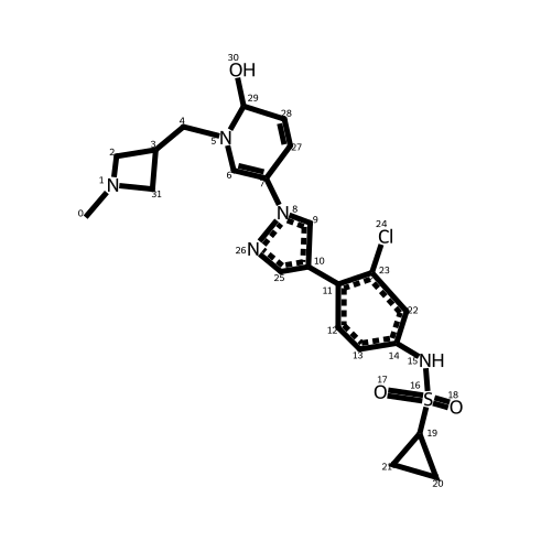 CN1CC(CN2C=C(n3cc(-c4ccc(NS(=O)(=O)C5CC5)cc4Cl)cn3)C=CC2O)C1